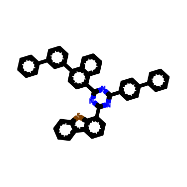 c1ccc(-c2ccc(-c3nc(-c4ccc(-c5cccc(-c6ccccc6)c5)c5ccccc45)nc(-c4cccc5c4sc4ccccc45)n3)cc2)cc1